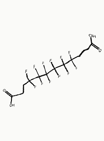 O=C(O)CCC(F)(F)C(F)(F)C(F)(F)C(F)(F)C(F)(F)C(F)(F)CCC(=O)O